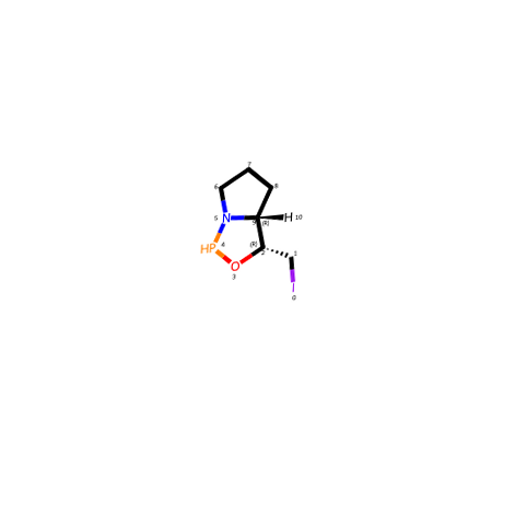 IC[C@@H]1OPN2CCC[C@H]12